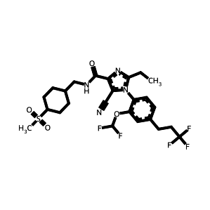 CCc1nc(C(=O)NCC2CCC(S(C)(=O)=O)CC2)c(C#N)n1-c1ccc(CCC(F)(F)F)cc1OC(F)F